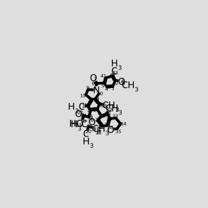 COc1ccc(C(=O)N2CCc3c(C)c([C@H](OC(C)(C)C)C(=O)O)c(-c4cc(F)c5c(c4C)CCCO5)c(C)c3C2)cc1C